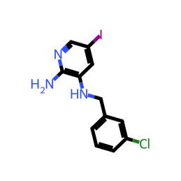 Nc1ncc(I)cc1NCc1cccc(Cl)c1